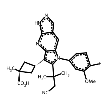 COc1cc(-n2c(C(C)(C)CC#N)c([C@H]3C[C@](C)(C(=O)O)C3)c3nc4[nH]ncc4cc32)ccc1F